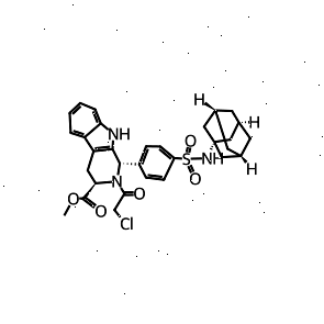 COC(=O)[C@H]1Cc2c([nH]c3ccccc23)[C@H](c2ccc(S(=O)(=O)N[C@]34C[C@H]5C[C@H](C[C@H](C5)C3)C4)cc2)N1C(=O)CCl